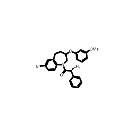 COc1cccc(OC2CCc3cc(Br)ccc3N(C(=O)[C@@H](C)c3ccccc3)C2)c1